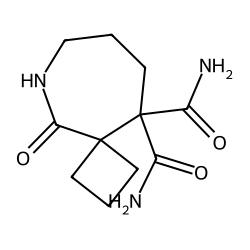 NC(=O)C1(C(N)=O)CCCNC(=O)C12CCC2